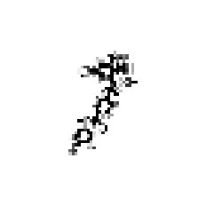 CC(C)(C1CCN(C(=O)Nc2ccc(F)cc2)CC1)[C@@H](O)c1cc(Cl)cc2cn[nH]c12